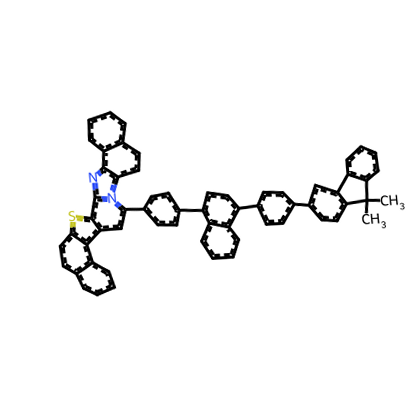 CC1(C)c2ccccc2-c2cc(-c3ccc(-c4ccc(-c5ccc(-c6cc7c(sc8ccc9ccccc9c87)c7nc8c9ccccc9ccc8n67)cc5)c5ccccc45)cc3)ccc21